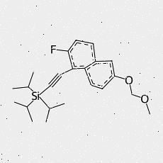 COCOc1ccc2c(C#C[Si](C(C)C)(C(C)C)C(C)C)c(F)ccc2c1